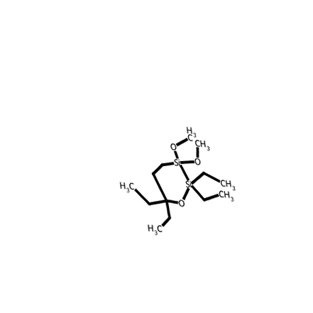 CCC1(CC)CC[Si](OC)(OC)[Si](CC)(CC)O1